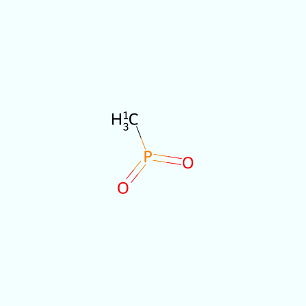 [1CH3]P(=O)=O